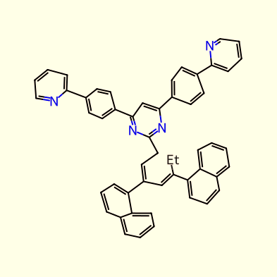 CC/C(=C\C(=C/Cc1nc(-c2ccc(-c3ccccn3)cc2)cc(-c2ccc(-c3ccccn3)cc2)n1)c1cccc2ccccc12)c1cccc2ccccc12